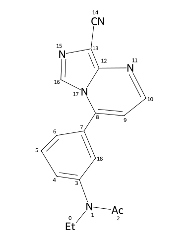 CCN(C(C)=O)c1cccc(-c2ccnc3c(C#N)ncn23)c1